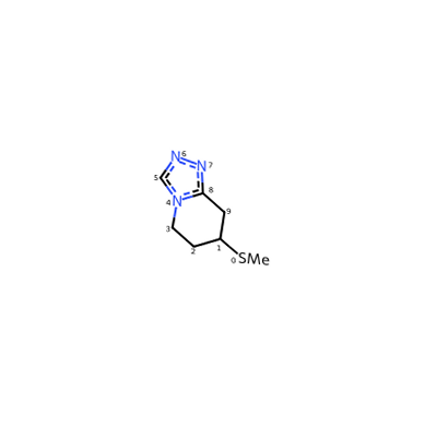 CSC1CCn2cnnc2C1